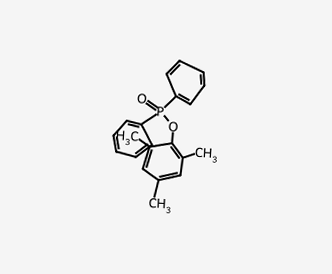 Cc1cc(C)c(OP(=O)(c2ccccc2)c2ccccc2)c(C)c1